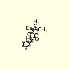 CCn1c(C)c(C)cc(C(=O)NCc2ccccc2)c1=O